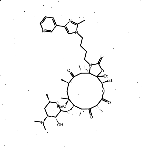 CC[C@H]1OC(=O)[C@H](C)C(=O)[C@H](C)[C@@H](OC2O[C@H](C)C[C@H](N(C)C)[C@H]2O)[C@@](C)(OC)C[C@@H](C)C(=O)[C@H](C)[C@H]2N(CCCCn3cc(-c4cccnc4)nc3C)C(=O)O[C@]12CC